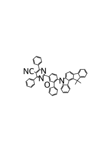 CC1(C)c2ccccc2-c2ccc3c(c21)c1ccccc1n3-c1ccc(-c2nc(-c3ccccc3)c(C#N)c(-c3ccccc3)n2)c2oc3ccccc3c12